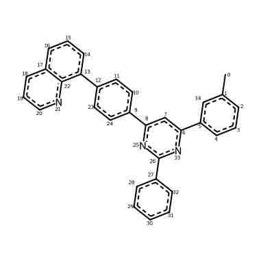 Cc1cccc(-c2cc(-c3ccc(-c4cccc5cccnc45)cc3)nc(-c3ccccc3)n2)c1